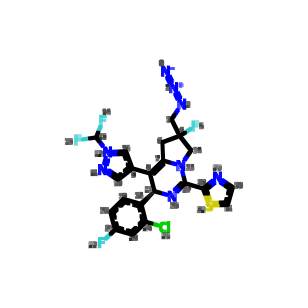 [N-]=[N+]=NCC1(F)CC2=C(c3cnn(C(F)F)c3)[C@H](c3ccc(F)cc3Cl)N=C(c3nccs3)N2C1